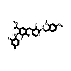 COC(=O)c1cc(Cc2ccnc(NCc3ccc(OC)cc3OC)c2F)c(F)c(F)c1Nc1ccc(I)cc1F